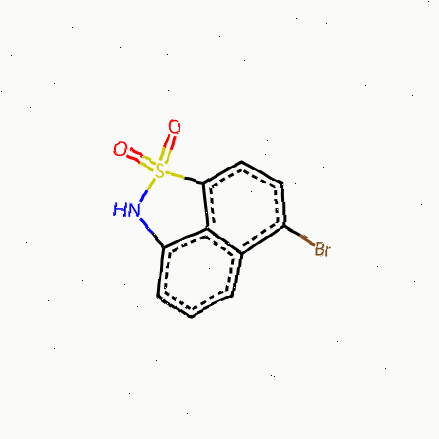 O=S1(=O)Nc2cccc3c(Br)ccc1c23